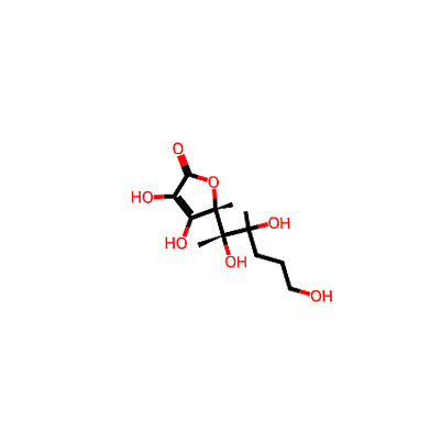 CC(O)(CCCO)[C@](C)(O)[C@@]1(C)OC(=O)C(O)=C1O